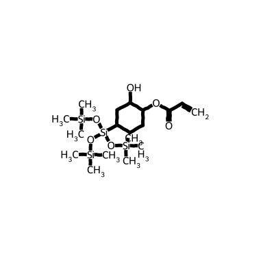 C=CC(=O)OC1CCC([Si](O[Si](C)(C)C)(O[Si](C)(C)C)O[Si](C)(C)C)CC1O